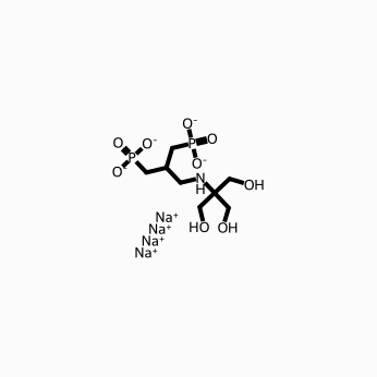 O=P([O-])([O-])CC(CNC(CO)(CO)CO)CP(=O)([O-])[O-].[Na+].[Na+].[Na+].[Na+]